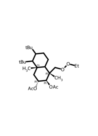 CCOOC[C@@]1(C)C2CCC(C(C)(C)C)C(C(C)(C)C)[C@@]2(C)C[C@@H](OC(C)=O)[C@@H]1OC(C)=O